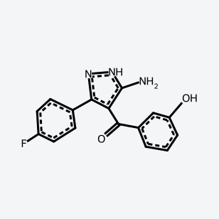 Nc1[nH]nc(-c2ccc(F)cc2)c1C(=O)c1cccc(O)c1